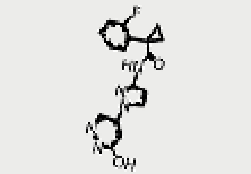 O=C(Nc1ccn(-c2cnnc(O)c2)n1)C1(c2ccccc2F)CC1